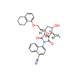 C[C@@]12O[C@@](CCOc3cccc4c3CCCC4)(CC1O)[C@@H]1C(=O)N(c3ccc(C#N)c4ccccc34)C(=O)[C@@H]12